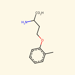 Cc1ccccc1OCCC(N)C(=O)O